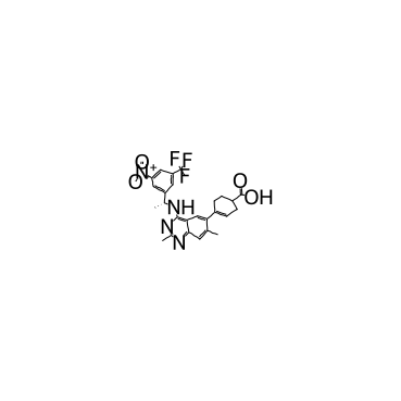 Cc1nc(N[C@H](C)c2cc([N+](=O)[O-])cc(C(F)(F)F)c2)c2cc(C3=CCC(C(=O)O)CC3)c(C)cc2n1